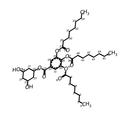 CCCCCCCC(=O)Oc1cc(C(=O)OC2CC(O)CC(O)C2)cc(OC(=O)CCCCCCC)c1OC(=O)CCCCCCC